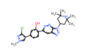 Cn1cc(-c2ccc(-c3cc4nnn(C5CC(C)(C)NC(C)(C)C5)c4nn3)c(O)c2)c(Cl)n1